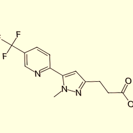 Cn1nc(CCC(=O)O)cc1-c1ccc(C(F)(F)F)cn1